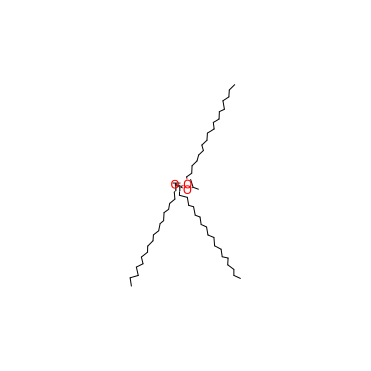 CCCCCCCCCCCCCCCCCC[O][Ti](=[O])([CH2]CCCCCCCCCCCCCCCCC)([CH2]CCCCCCCCCCCCCCCCC)[O]C(C)C